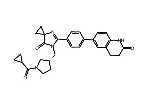 O=C1CCc2cc(-c3ccc(C4=NC5(CC5)C(=O)N4C[C@@H]4CCN(C(=O)C5CC5)C4)cc3)ccc2N1